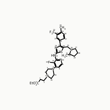 CCOC(=O)CCN1CCN(c2ccnc(Nc3nc(-c4ccc(C)c(C(F)(F)F)c4)c(CN4CCCC4C)s3)c2F)CC1